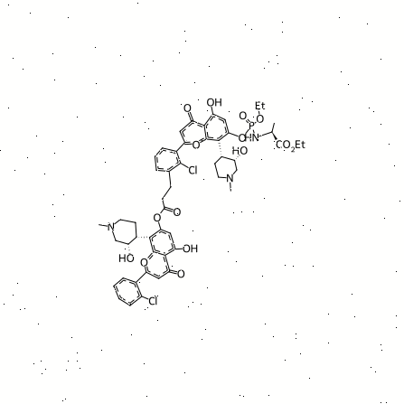 CCOC(=O)[C@H](C)NP(=O)(OCC)Oc1cc(O)c2c(=O)cc(-c3cccc(CCC(=O)Oc4cc(O)c5c(=O)cc(-c6ccccc6Cl)oc5c4[C@H]4CCN(C)C[C@H]4O)c3Cl)oc2c1[C@H]1CCN(C)C[C@H]1O